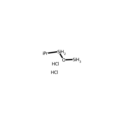 CC(C)[SiH2]O[SiH3].Cl.Cl